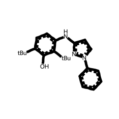 CC(C)(C)c1ccc(Nc2ccn(-c3ccccc3)n2)c(C(C)(C)C)c1O